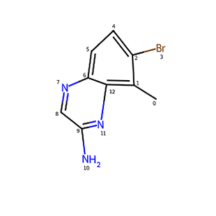 Cc1c(Br)ccc2ncc(N)nc12